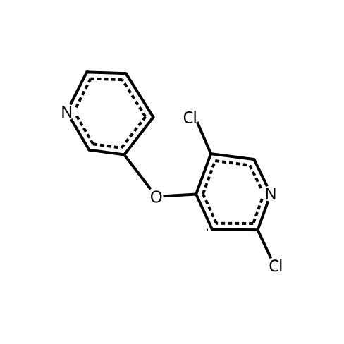 Clc1[c]c(Oc2cccnc2)c(Cl)cn1